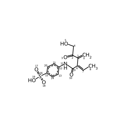 C=C(C(=O)CO)C(=CC)C(=O)Nc1ccc(S(=O)(=O)O)cc1